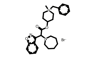 C[N+]1(Cc2ccccc2)CCC(OC(=O)C(c2noc3ccccc23)N2CCCCCC2)CC1.[Br-]